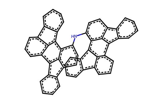 c1ccc2c(c1)c1cccc3c1c2c1c(Nc2ccc4c5ccccc5c5c6cccc7c8ccccc8c(c2c45)c76)ccc2c4ccccc4c3c21